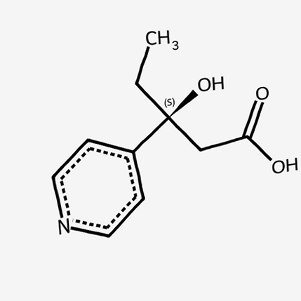 CC[C@](O)(CC(=O)O)c1ccncc1